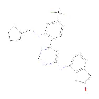 O[C@@H]1Cc2cccc(Nc3cc(-c4ccc(C(F)(F)F)cc4NCC4CCCC4)ncn3)c2C1